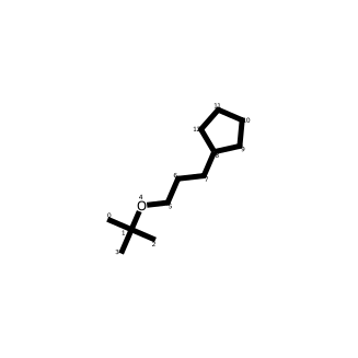 CC(C)(C)OCCCC1CCCC1